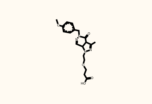 COc1ccc(CN2N=CC3C(C2=O)C(C)=NN3CCOCCC(=O)O)cc1